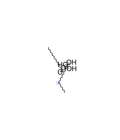 CCCCCC/C=C\CCCCCC(CC(=O)C(O)C(O)CO)C(=O)CCCCCCCCCCCCCCC